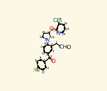 O=CCc1cc(C(=O)c2ccc(F)cc2)ccc1N1CC[C@H](Oc2ncccc2Cl)C1